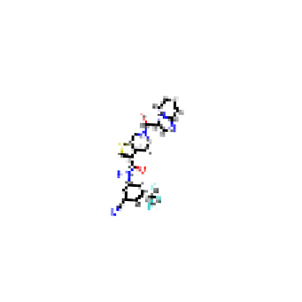 N#Cc1cc(NC(=O)c2csc3c2CCN(C(=O)c2cnc4ccccn24)C3)cc(C(F)(F)F)c1